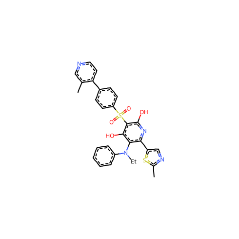 CCN(c1ccccc1)c1c(-c2cnc(C)s2)nc(O)c(S(=O)(=O)c2ccc(-c3ccncc3C)cc2)c1O